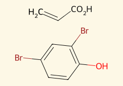 C=CC(=O)O.Oc1ccc(Br)cc1Br